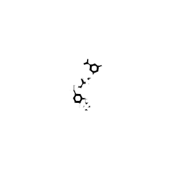 C=C(C)c1cc(C)cc(Oc2nc(C(=O)N[C@H](C)c3cc(F)c(NS(C)(=O)=O)c(F)c3)co2)c1